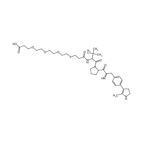 CC1=C(c2ccc(CC(=N)C(=O)C3CCCN3C(=O)C(NC(=O)CCSCCOCCOCCOCCC(=O)O)C(C)(C)C)cc2)CCN1